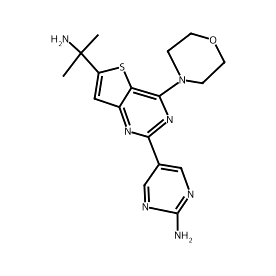 CC(C)(N)c1cc2nc(-c3cnc(N)nc3)nc(N3CCOCC3)c2s1